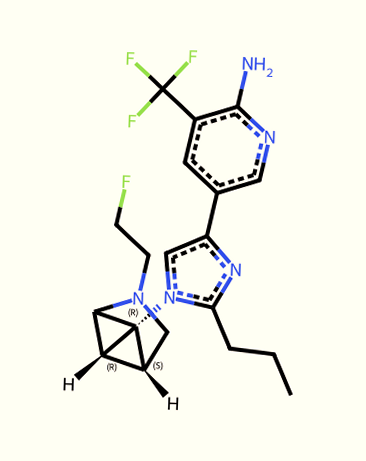 CCCc1nc(-c2cnc(N)c(C(F)(F)F)c2)cn1[C@@]12C3[C@H]1[C@H]2CN3CCF